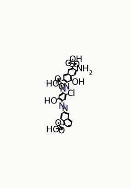 Nc1cc2c(O)c(/N=N/c3cc(O)c(/N=N/c4ccc5c(S(=O)(=O)O)cccc5c4)cc3Cl)c(S(=O)(=O)O)cc2cc1S(=O)(=O)O